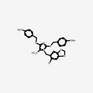 COc1ccc(CSc2nc(SCc3ccc(OC)cc3)n(Cc3cc4c(cc3Cl)OCO4)c2C(=O)O)cc1